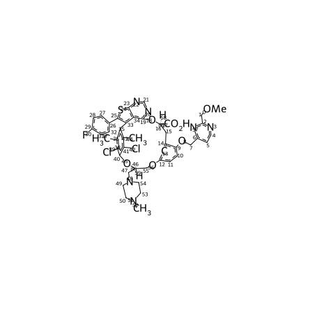 COCc1nccc(COc2ccc3cc2C[C@H](C(=O)O)Oc2ncnc4sc(-c5ccc(F)cc5)c(c24)-c2c(C)c(Cl)c(c(Cl)c2C)O[C@H](CN2CCN(C)CC2)CO3)n1